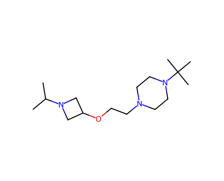 CC(C)N1CC(OCCN2CCN(C(C)(C)C)CC2)C1